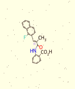 C/C(=C\c1ccc2ccccc2c1F)C(=O)Nc1ccccc1C(=O)O